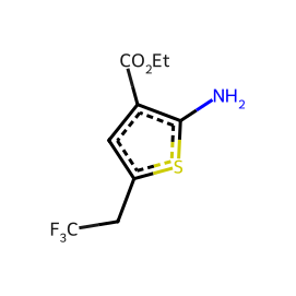 CCOC(=O)c1cc(CC(F)(F)F)sc1N